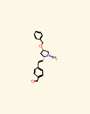 BN1C[C@H](OCc2ccccc2)C[C@H]1/C=C/c1ccc(C=O)cc1